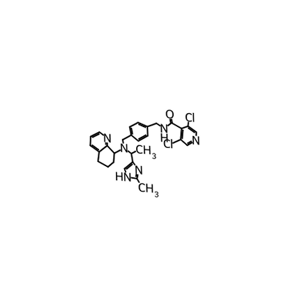 Cc1nc(C(C)N(Cc2ccc(CNC(=O)c3c(Cl)cncc3Cl)cc2)C2CCCc3cccnc32)c[nH]1